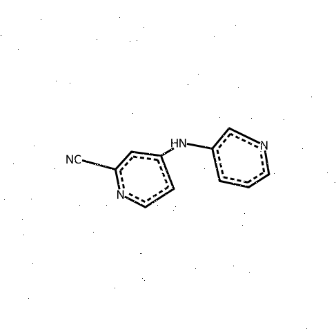 N#Cc1cc(Nc2cccnc2)ccn1